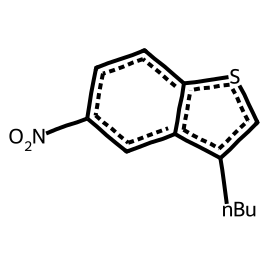 CCCCc1csc2ccc([N+](=O)[O-])cc12